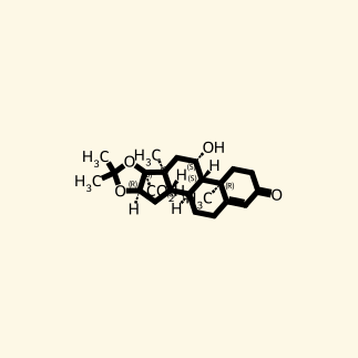 CC1(C)O[C@@H]2C[C@H]3[C@@H]4CCC5=CC(=O)CC[C@]5(C)[C@H]4[C@@H](O)C[C@]3(C)[C@]2(C(=O)O)O1